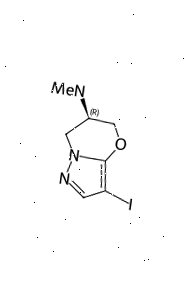 CN[C@H]1COc2c(I)cnn2C1